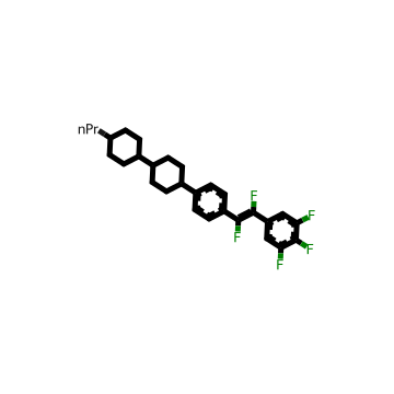 CCCC1CCC(C2CCC(c3ccc(/C(F)=C(\F)c4cc(F)c(F)c(F)c4)cc3)CC2)CC1